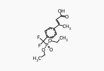 CCOP(=O)(OCC)C(F)(F)c1ccc(C(C)=CC(=O)O)cc1